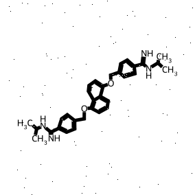 CC(C)NC(=N)c1ccc(COc2cccc3c(OCc4ccc(C(=N)NC(C)C)cc4)cccc23)cc1